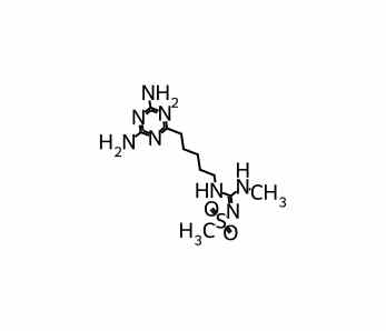 CN/C(=N/S(C)(=O)=O)NCCCCCc1nc(N)nc(N)n1